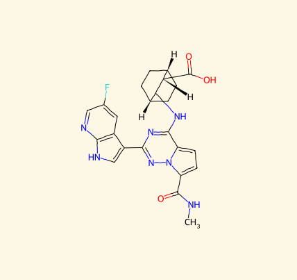 CNC(=O)c1ccc2c(NC3[C@H]4CC[C@H](CC4)[C@@H]3C(=O)O)nc(-c3c[nH]c4ncc(F)cc34)nn12